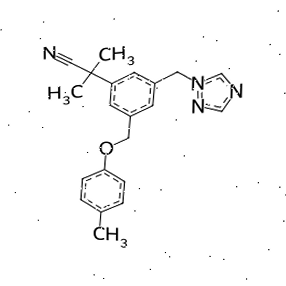 Cc1ccc(OCc2cc(Cn3cncn3)cc(C(C)(C)C#N)c2)cc1